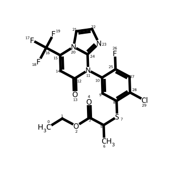 CCOC(=O)C(C)Sc1cc(-n2c(=O)cc(C(F)(F)F)n3ccnc23)c(F)cc1Cl